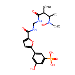 CCCCCC(C(=O)NCNC(=O)c1ccc(-c2cc(O)cc(P(=O)(O)O)c2)o1)C(CC)N(O)C=O